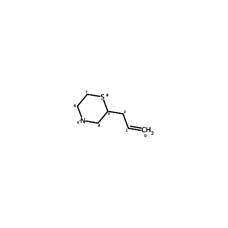 C=CCC1C[N]CCS1